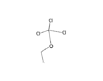 [CH2]COC(Cl)(Cl)Cl